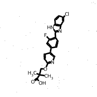 CC(C)(COc1ccc(-c2ccc(-c3nc4cc(Cl)ccc4[nH]3)c(F)c2)cn1)C(=O)O